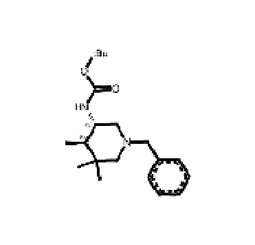 C[C@H]1[C@H](NC(=O)OC(C)(C)C)CN(Cc2ccccc2)CC1(C)C